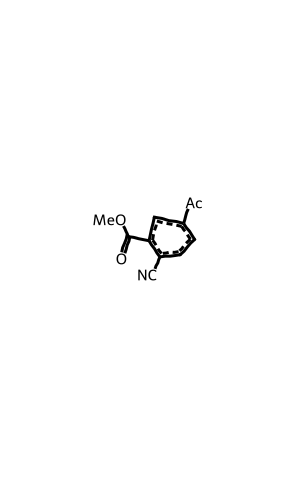 COC(=O)c1cc(C(C)=O)ccc1C#N